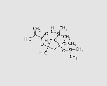 C=C(C)C(=O)OC(C)(C)C[Si](C)(O[Si](C)(C)C)O[Si](C)(C)C